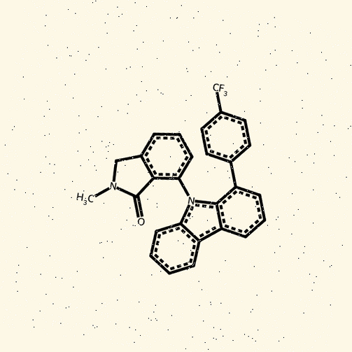 CN1Cc2cccc(-n3c4ccccc4c4cccc(-c5ccc(C(F)(F)F)cc5)c43)c2C1=O